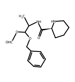 CC(NC(=O)[C@@H]1CCCCN1)C(OC=O)OCc1ccccc1